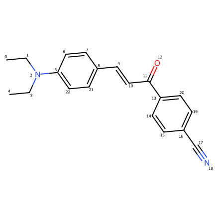 CCN(CC)c1ccc(C=CC(=O)c2ccc(C#N)cc2)cc1